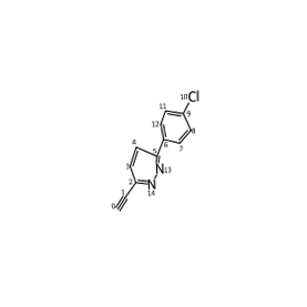 C#Cc1ccc(-c2ccc(Cl)cc2)nn1